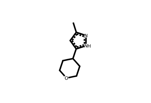 Cc1cc(C2CCOCC2)[nH]n1